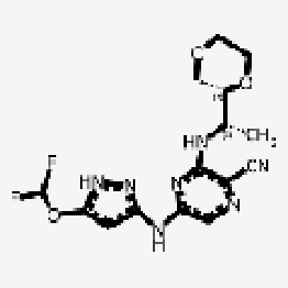 C[C@H](Nc1nc(Nc2cc(OC(F)F)[nH]n2)cnc1C#N)[C@@H]1COCCO1